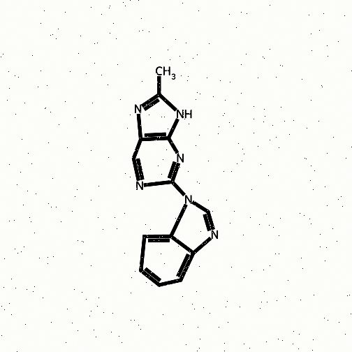 Cc1nc2cnc(-n3cnc4ccccc43)nc2[nH]1